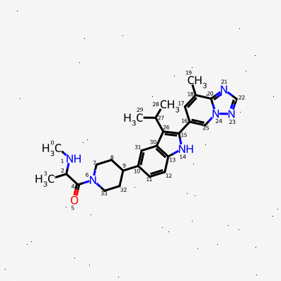 CNC(C)C(=O)N1CCC(c2ccc3[nH]c(-c4cc(C)c5ncnn5c4)c(C(C)C)c3c2)CC1